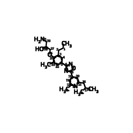 CCCc1cc(-c2noc(-c3cc(C)nc(CC(C)C)c3)n2)cc(C)c1OC[C@@H](O)CN